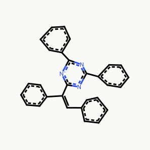 C(=C(c1ccccc1)c1nc(-c2ccccc2)nc(-c2ccccc2)n1)c1ccccc1